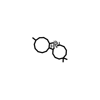 CCC(C)C1CCCC(C)CCCCCC1C1CCCC(C)(C)CCCCN1